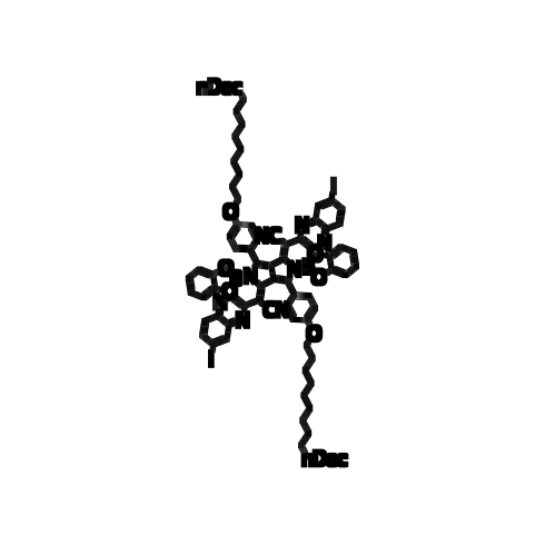 CCCCCCCCCCCCCCCCCCCOc1ccc(-c2c3/c(=C(\C#N)c4cnc5ccc(I)cc5n4)n(B4Oc5ccccc5O4)c(-c4ccc(OCCCCCCCCCCCCCCCCCCC)cc4)c3/c(=C(\C#N)c3cnc4ccc(I)cc4n3)n2B2Oc3ccccc3O2)cc1